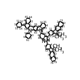 CC1(C)c2cc(-c3nc(-c4ccc5c(c4)C(C)(C)c4cc6ccccc6cc4-5)c4cc(-n5c6ccccc6c6cc7c8c9ccccc9c(-c9ccccc9)cc8n(-c8ccccc8)c7cc65)ccc4n3)ccc2-c2cc3ccccc3cc21